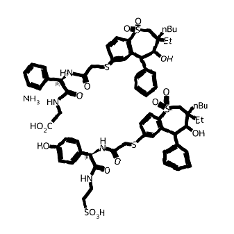 CCCCC1(CC)CS(=O)(=O)c2ccc(SCC(=O)N[C@@H](C(=O)NCC(=O)O)c3ccccc3)cc2C(c2ccccc2)C1O.CCCCC1(CC)CS(=O)(=O)c2ccc(SCC(=O)N[C@@H](C(=O)NCCS(=O)(=O)O)c3ccc(O)cc3)cc2C(c2ccccc2)C1O.N